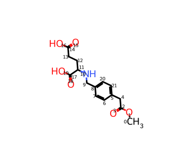 COC(=O)Cc1ccc(CNC(CCC(=O)O)C(=O)O)cc1